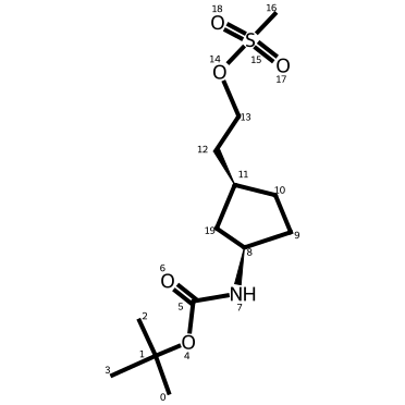 CC(C)(C)OC(=O)N[C@@H]1CC[C@H](CCOS(C)(=O)=O)C1